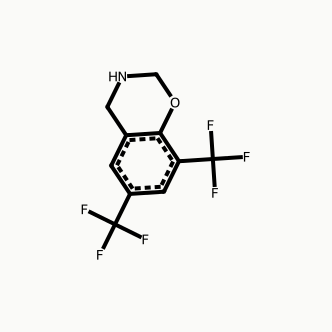 FC(F)(F)c1cc2c(c(C(F)(F)F)c1)OCNC2